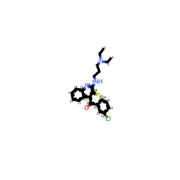 CCN(CC)CCCNc1nc2ccccc2c2c(=O)c3cc(Cl)ccc3sc12